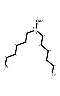 CC(=O)O[SiH](CCCCCC(C)C)CCCCCC(C)C